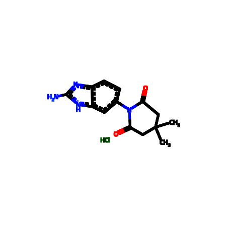 CC1(C)CC(=O)N(c2ccc3nc(N)[nH]c3c2)C(=O)C1.Cl